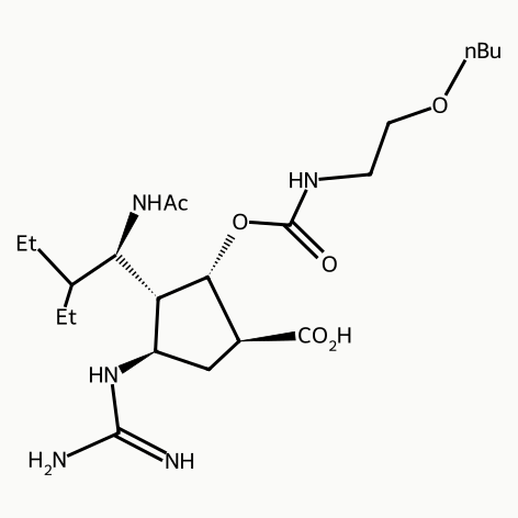 CCCCOCCNC(=O)O[C@H]1[C@@H]([C@H](NC(C)=O)C(CC)CC)[C@H](NC(=N)N)C[C@@H]1C(=O)O